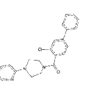 O=C(c1ccc(-c2ccccc2)cc1Cl)N1CCN(c2ccccn2)CC1